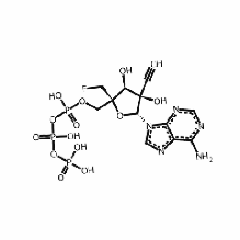 C#C[C@@]1(O)[C@H](O)[C@@](CF)(COP(=O)(O)OP(=O)(O)OP(=O)(O)O)O[C@H]1n1cnc2c(N)ncnc21